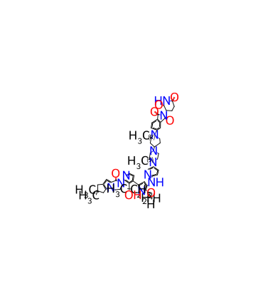 [2H]C([2H])([2H])Oc1ncc(-c2ccnc(N3CCn4c(cc5c4CC(C)(C)C5)C3=O)c2C(C)(C)O)cc1Nc1ccc(N2CCN(C3CCN(c4ccc5c(c4)C(=O)N(C4CCC(=O)NC4=O)C5=O)[C@H](C)C3)C[C@@H]2C)cn1